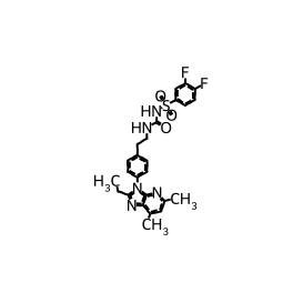 CCc1nc2c(C)cc(C)nc2n1-c1ccc(CCNC(=O)NS(=O)(=O)c2ccc(F)c(F)c2)cc1